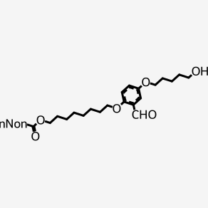 CCCCCCCCCC(=O)OCCCCCCCCOc1ccc(OCCCCCO)cc1C=O